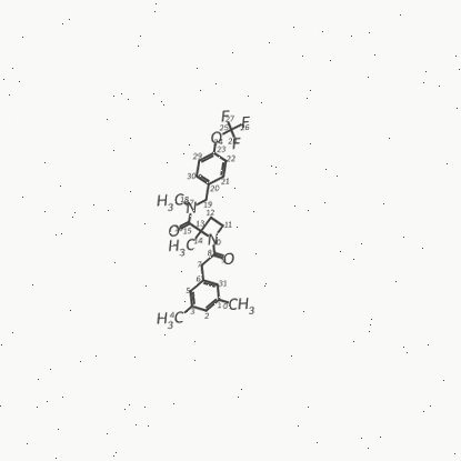 Cc1cc(C)cc(CC(=O)N2CCC2(C)C(=O)N(C)Cc2ccc(OC(F)(F)F)cc2)c1